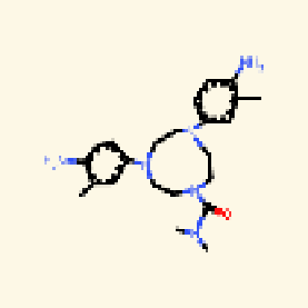 Cc1cc(N2CCN(C(=O)N(C)C)CCN(c3ccc(N)c(C)c3)CC2)ccc1N